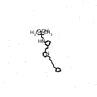 CCC(CC)(CCNc1cccc(C=Cc2cccc(CCCCCCc3ccccc3)n2)c1)C(=O)O